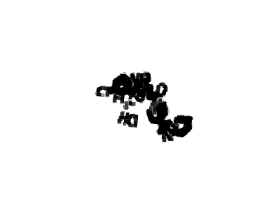 Cc1c(S(=O)(=O)CCC(=O)N2CCC(c3cnc4n3CCCC4)CC2)[nH]c2ccc(Cl)cc12.Cl